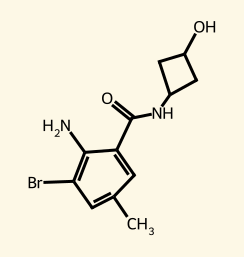 Cc1cc(Br)c(N)c(C(=O)NC2CC(O)C2)c1